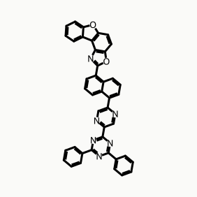 c1ccc(-c2nc(-c3ccccc3)nc(-c3cnc(-c4cccc5c(-c6nc7c(ccc8oc9ccccc9c87)o6)cccc45)cn3)n2)cc1